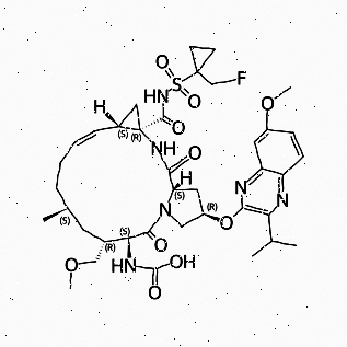 COC[C@@H]1C[C@@H](C)CCC=C[C@@H]2C[C@@]2(C(=O)NS(=O)(=O)C2(CF)CC2)NC(=O)[C@@H]2C[C@@H](Oc3nc4cc(OC)ccc4nc3C(C)C)CN2C(=O)[C@H]1NC(=O)O